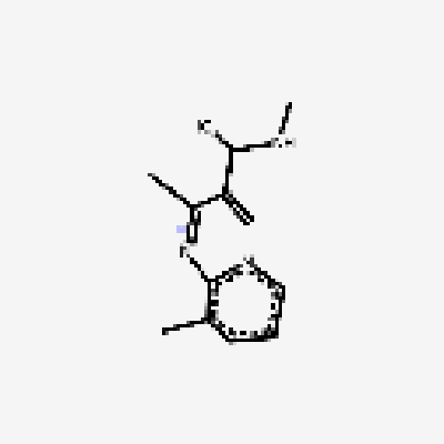 C=C(/C(C)=N\c1ncccc1C)C(O)NC